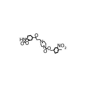 Cc1ccc(COC(=O)N2CCN(CCC(=O)c3ccc4[nH]c(=O)oc4c3)CC2)cc1[N+](=O)[O-]